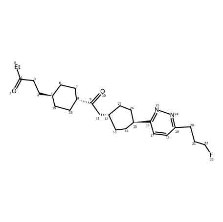 CCC(=O)CC[C@H]1CC[C@H](C(=O)C[C@H]2CC[C@H](c3ccc(CCCF)nn3)CC2)CC1